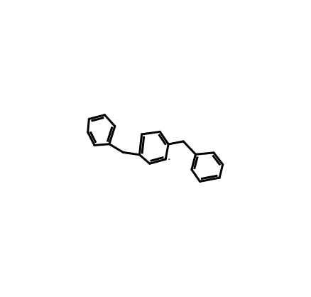 [c]1cc(Cc2ccccc2)ccc1Cc1ccccc1